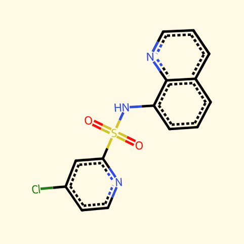 O=S(=O)(Nc1cccc2cccnc12)c1cc(Cl)ccn1